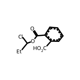 CCC(Cl)OC(=O)c1ccccc1C(=O)O